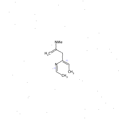 C=C(CC(=C/C)/N=C\C)NC